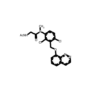 CC(=O)NCC(=O)N(C)c1ccc(Cl)c(COc2cccc3ccnnc23)c1Cl